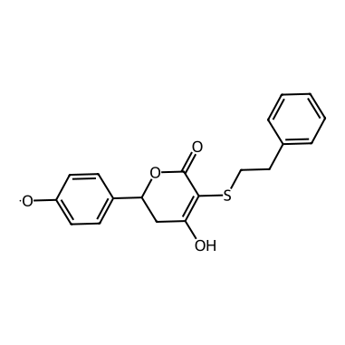 [O]c1ccc(C2CC(O)=C(SCCc3ccccc3)C(=O)O2)cc1